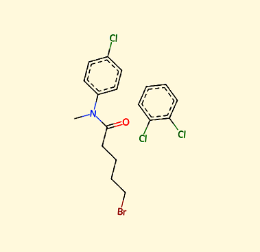 CN(C(=O)CCCCBr)c1ccc(Cl)cc1.Clc1ccccc1Cl